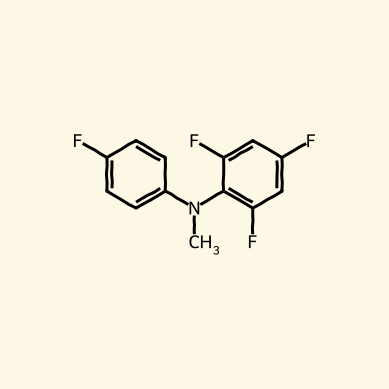 CN(c1ccc(F)cc1)c1c(F)cc(F)cc1F